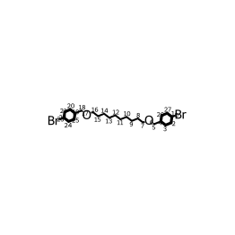 Brc1ccc(COCCCCCCCCCCOCc2ccc(Br)cc2)cc1